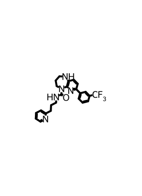 O=C(NCCCc1ccccn1)N1CCCNc2ccc(-c3cccc(C(F)(F)F)c3)nc21